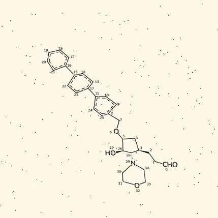 O=CCC[C@@H]1CC(OCc2ccc(-c3ccc(-c4ccccc4)cc3)cc2)[C@H](O)[C@H]1N1CCOCC1